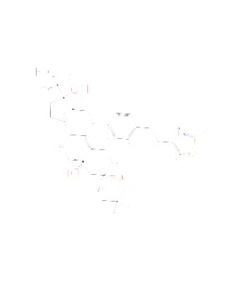 Cc1nc(CCc2ccc([C@H]3CC4(C)C(CCC4(O)C(F)(F)C(F)(F)F)C4CCC5(O)CC6(CCC5=C43)OCC(C)(C)CO6)cc2)cs1